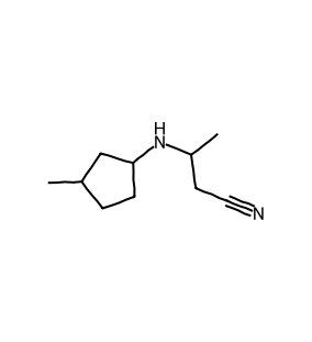 CC1CCC(NC(C)CC#N)C1